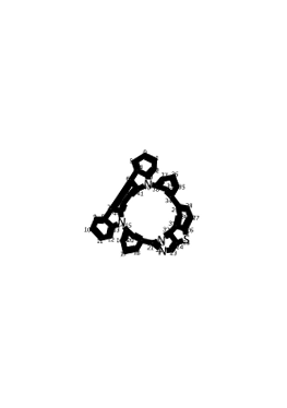 c1ccc2c(c1)c1c3c4ccccc4n4c5cccc(c5)c5ncc6sc7ccc(cc7c6n5)c5cccc(c5)n2c1ccc34